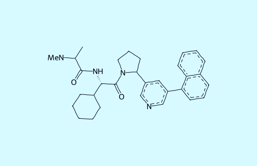 CNC(C)C(=O)N[C@H](C(=O)N1CCCC1c1cncc(-c2cccc3ccccc23)c1)C1CCCCC1